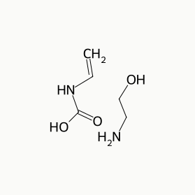 C=CNC(=O)O.NCCO